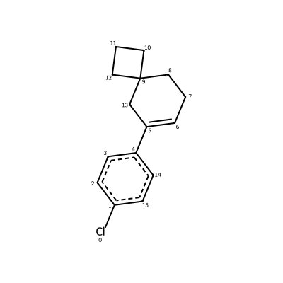 Clc1ccc(C2=CCCC3(CCC3)C2)cc1